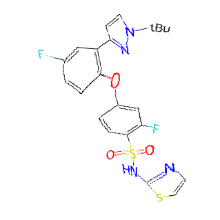 CC(C)(C)n1ccc(-c2cc(F)ccc2Oc2ccc(S(=O)(=O)Nc3nccs3)c(F)c2)n1